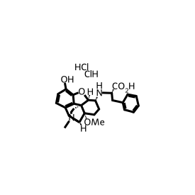 CO[C@@]12CC[C@@H](N[C@@H](Cc3ccccc3)C(=O)O)[C@@H]3Oc4c(O)ccc5c4[C@@]31CCN(C)[C@@H]2C5.Cl.Cl